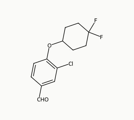 O=Cc1ccc(OC2CCC(F)(F)CC2)c(Cl)c1